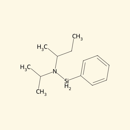 CCC(C)N([SiH2]c1ccccc1)C(C)C